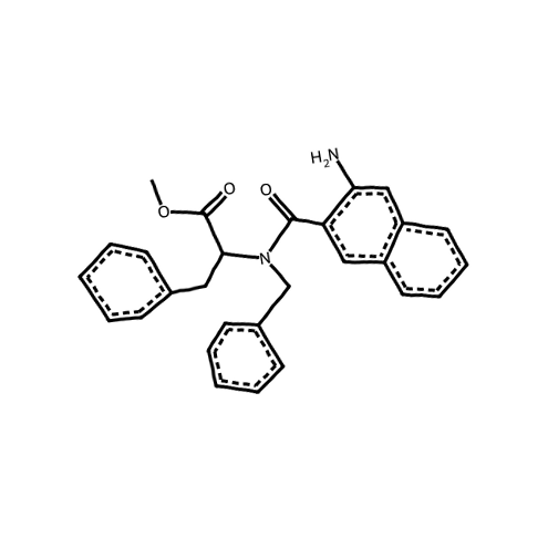 COC(=O)C(Cc1ccccc1)N(Cc1ccccc1)C(=O)c1cc2ccccc2cc1N